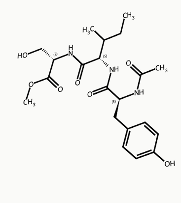 CCC(C)[C@H](NC(=O)[C@H](Cc1ccc(O)cc1)NC(C)=O)C(=O)N[C@@H](CO)C(=O)OC